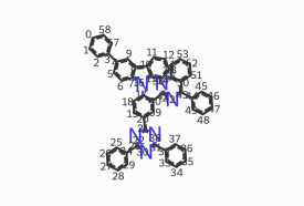 c1ccc(-c2ccc3c(c2)c2ccccc2n3-c2ccc(-c3nc(-c4ccccc4)nc(-c4ccccc4)n3)cc2-c2nc(-c3ccccc3)c3ccccc3n2)cc1